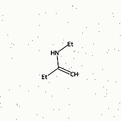 [CH]=C(CC)NCC